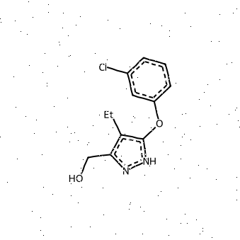 CCc1c(CO)n[nH]c1Oc1cccc(Cl)c1